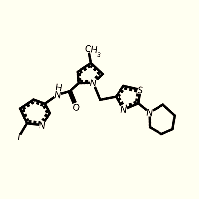 Cc1cc(C(=O)Nc2ccc(I)nc2)n(Cc2csc(N3CCCCC3)n2)c1